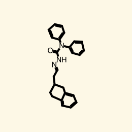 O=C(NN=CCC1CCc2ccccc2C1)N(c1ccccc1)c1ccccc1